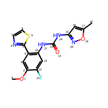 COc1cc(-c2nccs2)c(NC(=O)Nc2cc(C)on2)cc1F